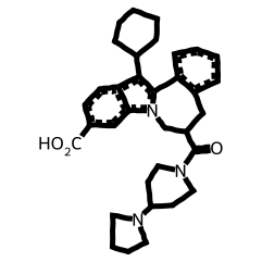 O=C(O)c1ccc2c(C3CCCCC3)c3n(c2c1)CC(C(=O)N1CCC(N2CCCC2)CC1)Cc1ccccc1-3